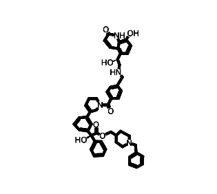 O=C(c1ccc(CNC[C@H](O)c2ccc(O)c3[nH]c(=O)ccc23)cc1)N1CCC=C(c2cccc([C@](O)(C(=O)OCC3CCN(Cc4ccccc4)CC3)c3ccccc3)c2)C1